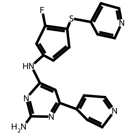 Nc1nc(Nc2ccc(Sc3ccncc3)c(F)c2)cc(-c2ccncc2)n1